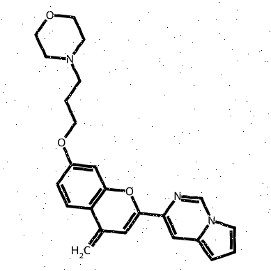 C=C1C=C(c2cc3cccn3cn2)Oc2cc(OCCCN3CCOCC3)ccc21